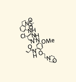 C=CC(=O)Nc1cc(Nc2ncc(Cl)c(Nc3cccc4c3N(S(C)(=O)=O)CC4)n2)c(OC)cc1OCCN1CCOCC1